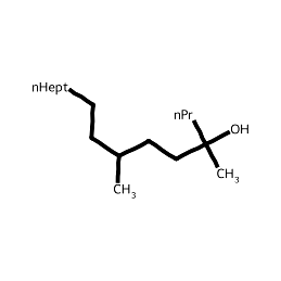 CCCCCCCCCC(C)CCC(C)(O)CCC